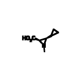 CN1[C@H](C2CC2)[C@@H]1C(=O)O